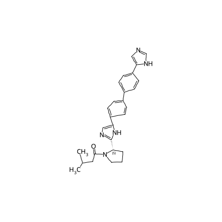 CC(C)CC(=O)N1CCC[C@H]1c1ncc(-c2ccc(-c3ccc(-c4cnc[nH]4)cc3)cc2)[nH]1